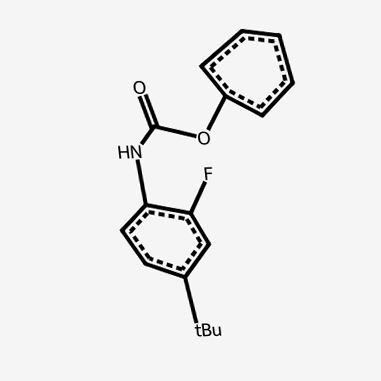 CC(C)(C)c1ccc(NC(=O)Oc2ccccc2)c(F)c1